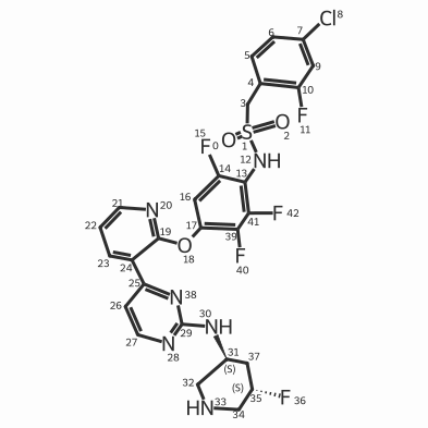 O=S(=O)(Cc1ccc(Cl)cc1F)Nc1c(F)cc(Oc2ncccc2-c2ccnc(N[C@@H]3CNC[C@@H](F)C3)n2)c(F)c1F